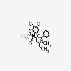 CCC(CCC(C#N)(c1ccc(Cl)c(Cl)c1)C(C)C)N(C)C(C)c1ccccc1